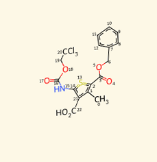 Cc1c(C(=O)OCc2ccccc2)sc(NC(=O)OCC(Cl)(Cl)Cl)c1C(=O)O